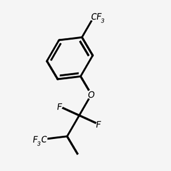 CC(C(F)(F)F)C(F)(F)Oc1cccc(C(F)(F)F)c1